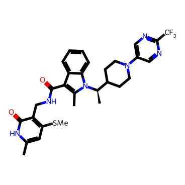 CSc1cc(C)[nH]c(=O)c1CNC(=O)c1c(C)n([C@H](C)C2CCN(c3cnc(C(F)(F)F)nc3)CC2)c2ccccc12